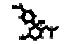 COc1ccc(C2(O)CC(O)CCC2CN(C)C)cc1